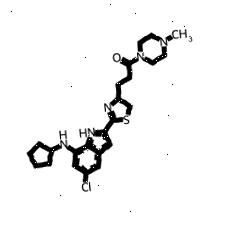 CN1CCN(C(=O)CCC2CSC(c3cc4cc(Cl)cc(NC5CCCC5)c4[nH]3)=N2)CC1